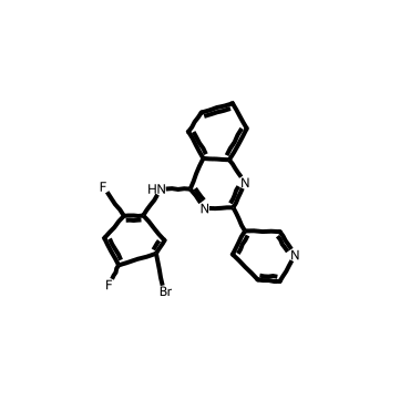 Fc1cc(F)c(Nc2nc(-c3cccnc3)nc3ccccc23)cc1Br